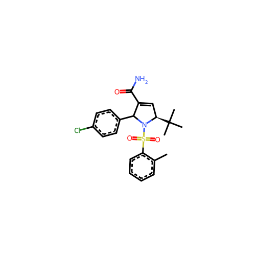 Cc1ccccc1S(=O)(=O)N1C(c2ccc(Cl)cc2)C(C(N)=O)=C[C@H]1C(C)(C)C